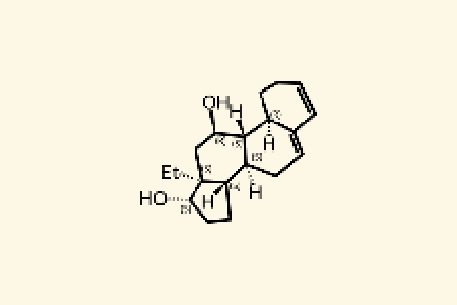 CC[C@]12C[C@@H](O)[C@H]3[C@@H](CC=C4C=CCC[C@@H]43)[C@@H]1CC[C@@H]2O